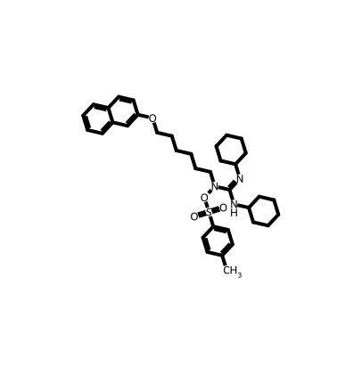 Cc1ccc(S(=O)(=O)ON(CCCCCCOc2ccc3ccccc3c2)C(=NC2CCCCC2)NC2CCCCC2)cc1